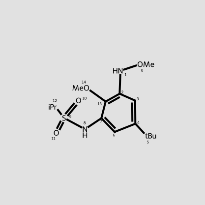 CONc1cc(C(C)(C)C)cc(NS(=O)(=O)C(C)C)c1OC